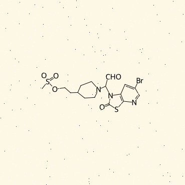 CS(=O)(=O)OCCC1CCN(C(C=O)n2c(=O)sc3ncc(Br)cc32)CC1